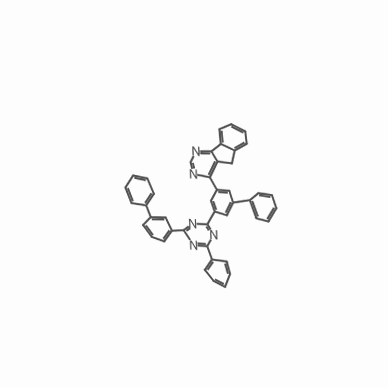 c1ccc(-c2cccc(-c3nc(-c4ccccc4)nc(-c4cc(-c5ccccc5)cc(-c5ncnc6c5Cc5ccccc5-6)c4)n3)c2)cc1